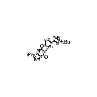 CC(C)n1ncc2c(=O)n(C)c(Oc3ccc(-c4cnn(C(C)(C)C)c4)cc3)nc21